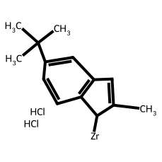 CC1=Cc2cc(C(C)(C)C)ccc2[CH]1[Zr].Cl.Cl